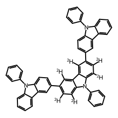 [2H]c1c(-c2ccc3c(c2)c2ccccc2n3-c2ccccc2)c([2H])c2c3c([2H])c(-c4ccc5c(c4)c4ccccc4n5-c4ccccc4)c([2H])c([2H])c3n(-c3ccccc3)c2c1[2H]